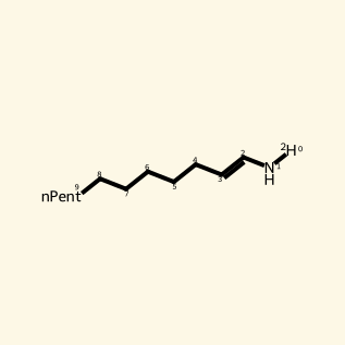 [2H]NC=CCCCCCCCCCC